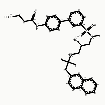 CN(C[C@H](O)CNC(C)(C)Cc1ccc2ccccc2c1)S(=O)(=O)c1cccc(-c2ccc(NC(=O)CCC(=O)O)cc2)c1